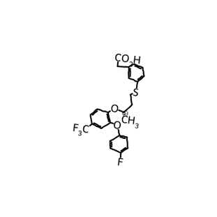 C[C@@H](CCSc1cccc(CC(=O)O)c1)Oc1ccc(C(F)(F)F)cc1Oc1ccc(F)cc1